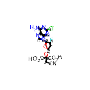 N#CCC(OC[C@@H]1C[C@H](F)[C@H](n2cnc3c(N)nc(Cl)nc32)O1)(C(=O)O)C(=O)O